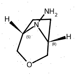 NN1[C@@H]2CC[C@H]1COC2